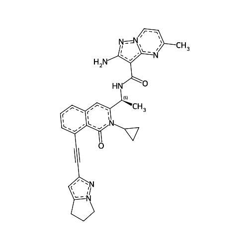 Cc1ccn2nc(N)c(C(=O)N[C@@H](C)c3cc4cccc(C#Cc5cc6n(n5)CCC6)c4c(=O)n3C3CC3)c2n1